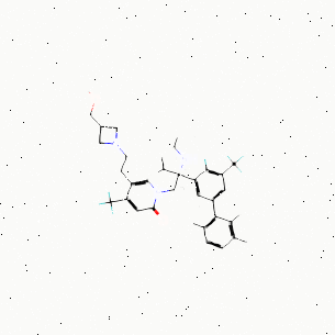 CCN[C@](c1cc(-c2c(C)ccc(C)c2C)cc(C(F)(F)F)c1F)(C(C)C)[C@H](C)n1cc(CCN2CC(COC)C2)c(C(F)(F)F)cc1=O